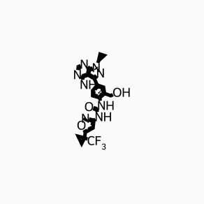 Nc1ncnc2c1c(-c1ccc(NC(=O)Nc3cc(C4(C(F)(F)F)CC4)on3)c(CO)c1)nn2C1CC1